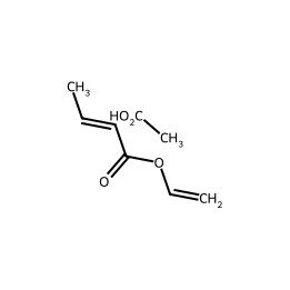 C=COC(=O)C=CC.CC(=O)O